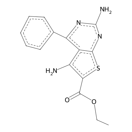 CCOC(=O)c1sc2nc(N)nc(-c3ccccc3)c2c1N